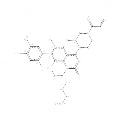 C=CC(=O)N1CCN(c2nc(=O)n3c4c(c(-c5cc(Cl)c(F)cc5F)c(C)cc24)SC[C@H]3COCOC)[C@@H](C)C1